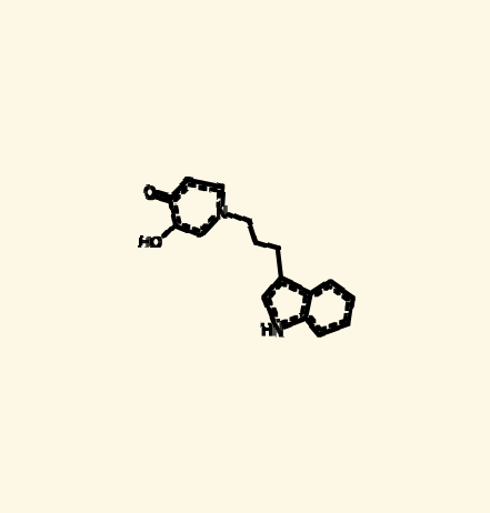 O=c1ccn(CCCc2c[nH]c3ccccc23)cc1O